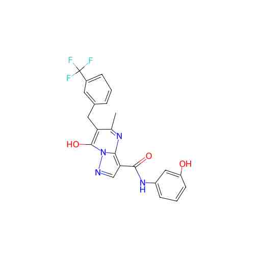 Cc1nc2c(C(=O)Nc3cccc(O)c3)cnn2c(O)c1Cc1cccc(C(F)(F)F)c1